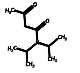 CC(=O)CC(=O)N(C(C)C)C(C)C